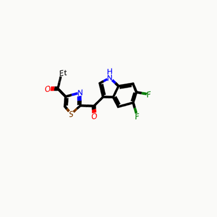 CCC(=O)c1csc(C(=O)c2c[nH]c3cc(F)c(F)cc23)n1